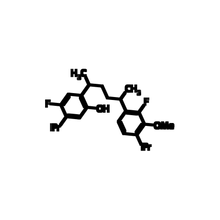 COc1c(C(C)C)ccc(C(C)CCC(C)c2cc(F)c(C(C)C)cc2O)c1F